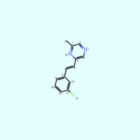 Cc1cncc(C=Cc2cccc(F)c2)n1